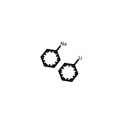 [Li][c]1ccccc1.[Na][c]1ccccc1